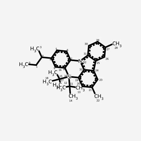 CCC(C)c1ccc2c(c1)[Si](C(C)(C)C)(C(C)(C)C)c1cc(C)cc3c4cc(C)ccc4n-2c13